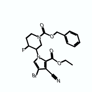 CCOC(=O)c1c(C#N)c(Br)cn1C1CN(C(=O)OCc2ccccc2)CCC1F